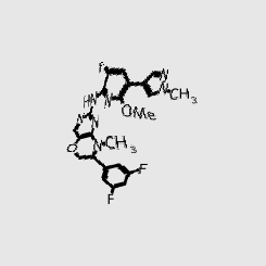 COc1nc(Nc2ncc3c(n2)N(C)C(c2cc(F)cc(F)c2)CO3)c(F)cc1-c1cnn(C)c1